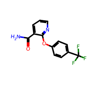 NC(=O)c1cccnc1Oc1ccc(C(F)(F)F)cc1